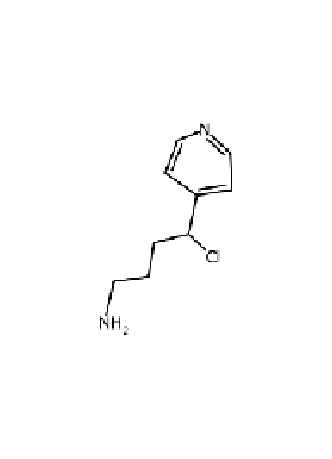 NCCCC(Cl)c1ccncc1